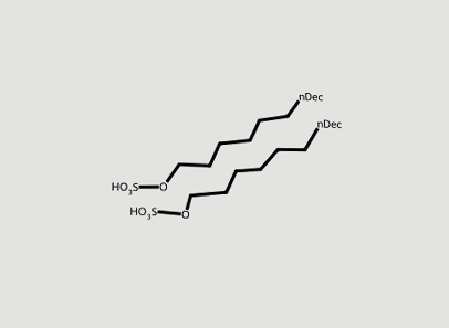 CCCCCCCCCCCCCCCCOS(=O)(=O)O.CCCCCCCCCCCCCCCCOS(=O)(=O)O